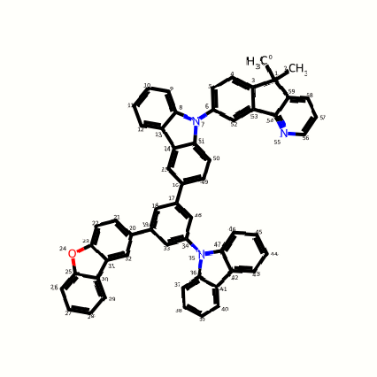 CC1(C)c2ccc(-n3c4ccccc4c4cc(-c5cc(-c6ccc7oc8ccccc8c7c6)cc(-n6c7ccccc7c7ccccc76)c5)ccc43)cc2-c2ncccc21